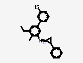 CCc1cc(-c2cccc(S)c2)cc(/N=C2\CC2c2ccccc2)c1C